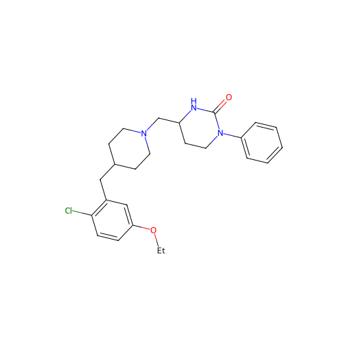 CCOc1ccc(Cl)c(CC2CCN(CC3CCN(c4ccccc4)C(=O)N3)CC2)c1